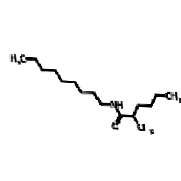 CCCCCCCCCNC(=O)C(C)CCCC